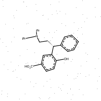 CC(C)N(CC[C@H](c1ccccc1)c1cc(C(=O)O)ccc1O)C(C)C